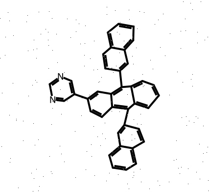 c1ccc2cc(-c3c4ccccc4c(-c4ccc5ccccc5c4)c4cc(-c5cncnc5)ccc34)ccc2c1